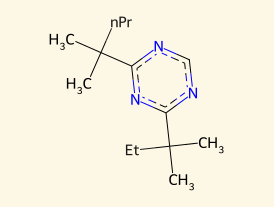 CCCC(C)(C)c1ncnc(C(C)(C)CC)n1